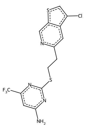 Nc1cc(C(F)(F)F)nc(SCCc2cc3c(Cl)csc3cn2)n1